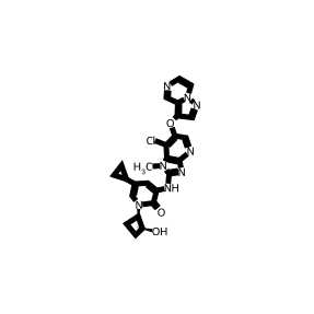 Cn1c(Nc2cc(C3CC3)cn([C@@H]3CC[C@@H]3O)c2=O)nc2ncc(Oc3cnn4ccncc34)c(Cl)c21